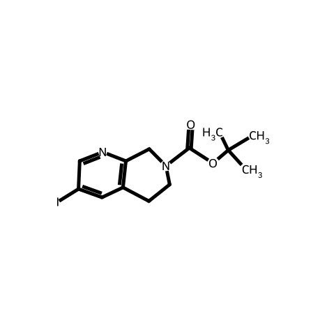 CC(C)(C)OC(=O)N1CCc2cc(I)cnc2C1